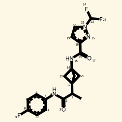 CC(C(=O)Nc1ccc(F)cc1)C12CC(NC(=O)c3ccn(C(F)F)n3)(C1)C2